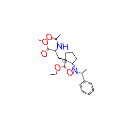 CCOC(=O)[C@]1(CC(NC(C)=O)C(=O)OC)CCC/C1=N\C(C)c1ccccc1